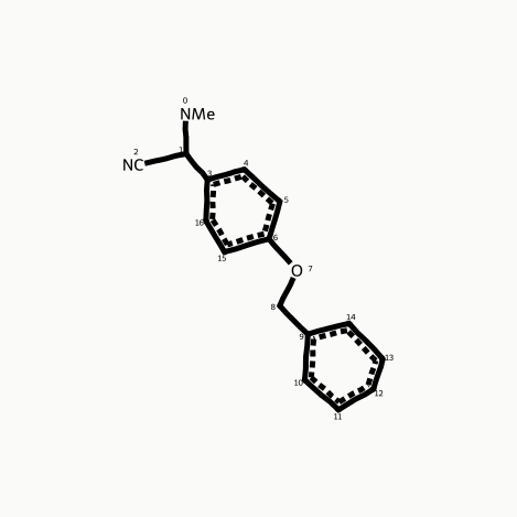 CNC(C#N)c1ccc(OCc2ccccc2)cc1